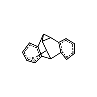 O=CC1C2c3ccccc3C3C(c4ccccc42)C13